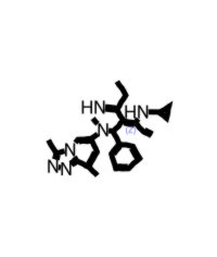 C=C/C(NC1CC1)=C(/C(=N)CC)C(c1ccccc1)N(C)c1cc(C)c2nnc(C)n2c1